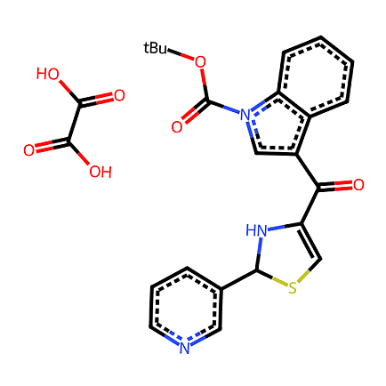 CC(C)(C)OC(=O)n1cc(C(=O)C2=CSC(c3cccnc3)N2)c2ccccc21.O=C(O)C(=O)O